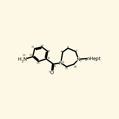 CCCCCCCN1CCCN(C(=O)c2cccc(N)c2)CC1